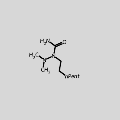 CCCCCCCN(C(N)=O)N(C)C